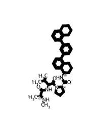 CN[C@@H](C)C(=O)N[C@H](C(=O)N1CCC[C@H]1C(=O)N[C@@H]1CCCc2c(-c3cccc(-c4cccc5c4CCCC5)c3)cccc21)C(C)C